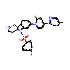 Cc1ccc(S(=O)(=O)n2c3c(c4ccc(-n5ccc(-c6ccc(C)cn6)cc5=O)cc42)CNCC3)cc1